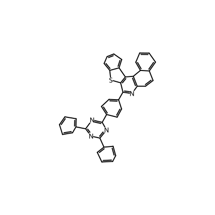 c1ccc(-c2nc(-c3ccccc3)nc(-c3ccc(-c4nc5ccc6ccccc6c5c5c4sc4ccccc45)cc3)n2)cc1